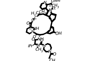 C=CC(=O)N1CCCN(C(=O)N(C)[C@H](C(=O)N[C@H]2Cc3cc(O)cc(c3)-c3ccc4c(c3)c(c(-c3cccnc3[C@H](C)OC)n4CC)CC(C)(C)COC(=O)[C@@H]3CCCN(N3)C2=O)C(C)C)CC1